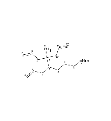 C=CCC(CCCCCCCCCCCC)C(P)(CC=C)CC=C